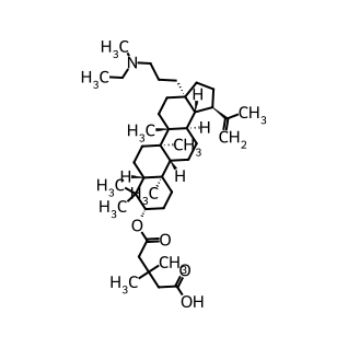 C=C(C)[C@@H]1CC[C@]2(CCCN(C)CC)CC[C@]3(C)[C@H](CC[C@@H]4[C@@]5(C)CC[C@H](OC(=O)CC(C)(C)CC(=O)O)C(C)(C)[C@@H]5CC[C@]43C)[C@@H]12